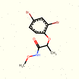 CONC(=O)C(C)Oc1ccc(Br)cc1Br